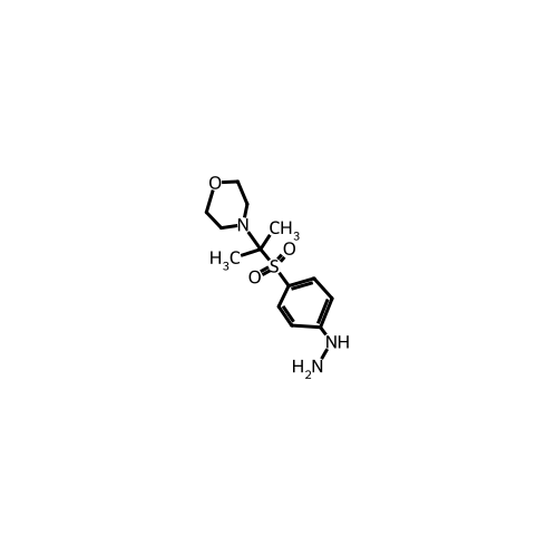 CC(C)(N1CCOCC1)S(=O)(=O)c1ccc(NN)cc1